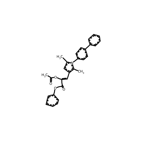 CC(=O)OC(=Cc1cc(C)n(-c2ccc(-c3ccccc3)cc2)c1C)C(=O)Oc1ccccc1